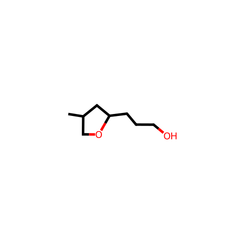 CC1COC(CCCO)C1